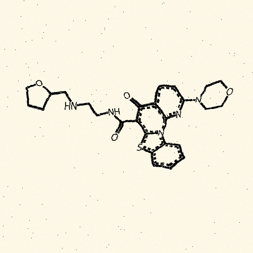 O=C(NCCNCC1CCCO1)c1c(=O)c2ccc(N3CCOCC3)nc2n2c1sc1ccccc12